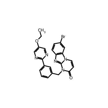 CCOc1cnc(-c2cccc(Cn3c(=O)ccn4c5cc(Br)ccc5nc34)c2)nc1